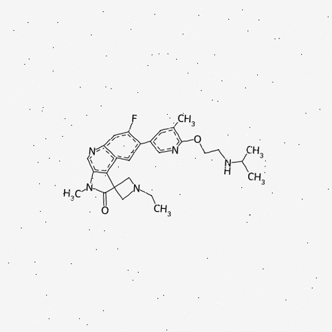 CCN1CC2(C1)C(=O)N(C)c1cnc3cc(F)c(-c4cnc(OCCNC(C)C)c(C)c4)cc3c12